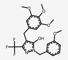 COc1cccc(Cn2nc(C(F)(F)F)c(Cc3cc(OC)c(OC)c(OC)c3)c2O)c1